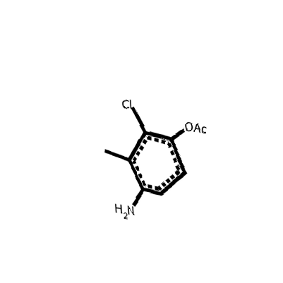 CC(=O)Oc1ccc(N)c(C)c1Cl